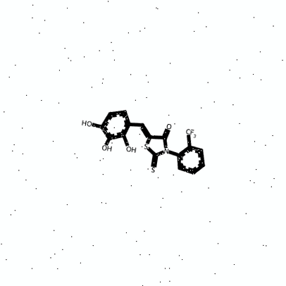 O=C1C(=Cc2ccc(O)c(O)c2O)SC(=S)N1c1ccccc1C(F)(F)F